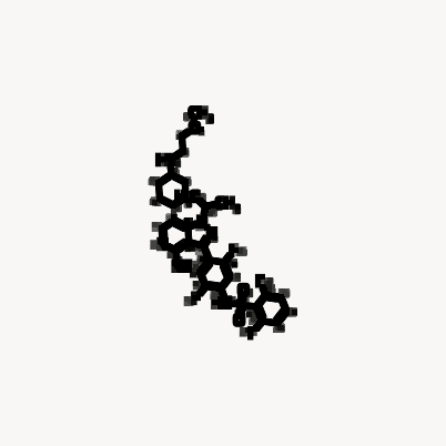 COCCN[C@H]1CC[C@H](c2cnc(N)c3c(-c4cc(F)c(NS(=O)(=O)c5c(F)cccc5F)cc4F)nn(C(C)C)c32)CC1